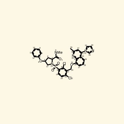 CNC(=O)C1CC(Oc2ccccc2)CN1S(=O)(=O)c1ccc(Cl)c(COc2cccc3c(-n4ccnc4)cc(C)nc23)c1Cl